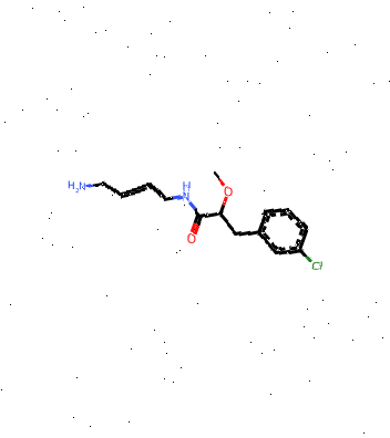 COC(Cc1cccc(Cl)c1)C(=O)NCC=CCN